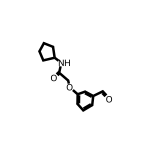 O=Cc1cccc(OCC(=O)NC2CCCC2)c1